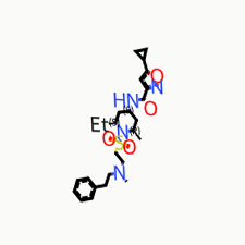 CC[C@H]1C[C@@H](NC(=O)c2cc(C3CC3)on2)C[C@@H](C)N1S(=O)(=O)CCN(C)CCc1ccccc1